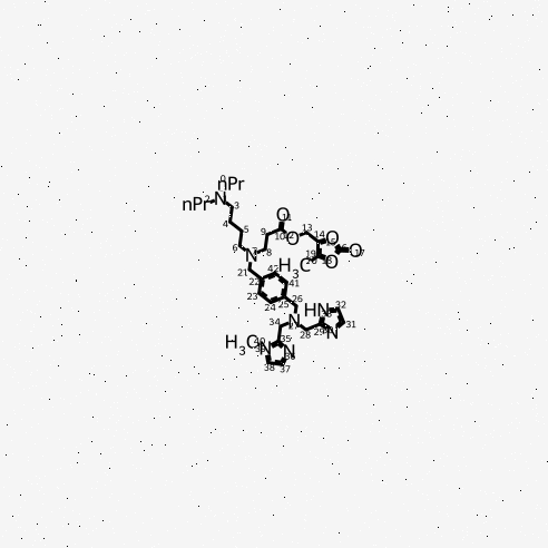 CCCN(CCC)CCCCN(CCC(=O)OCc1oc(=O)oc1C)Cc1ccc(CN(Cc2ncc[nH]2)Cc2nccn2C)cc1